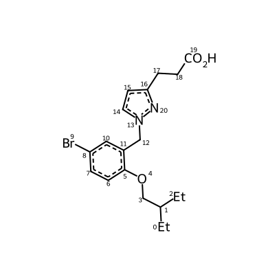 CCC(CC)COc1ccc(Br)cc1Cn1ccc(CCC(=O)O)n1